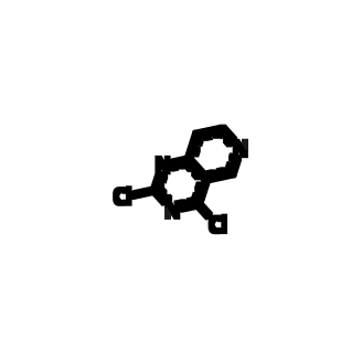 Clc1nc(Cl)c2cnccc2n1